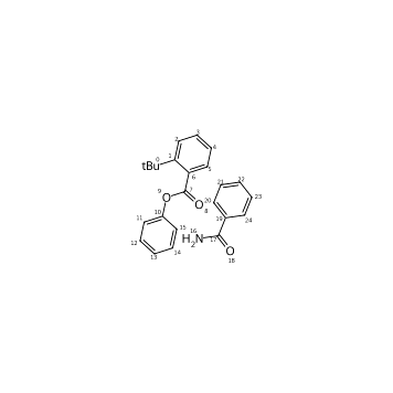 CC(C)(C)c1ccccc1C(=O)Oc1ccccc1.NC(=O)c1ccccc1